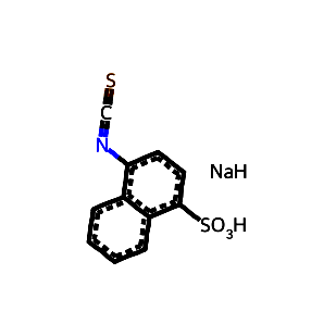 O=S(=O)(O)c1ccc(N=C=S)c2ccccc12.[NaH]